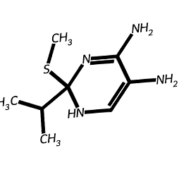 CSC1(C(C)C)N=C(N)C(N)=CN1